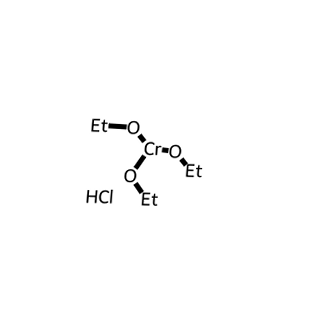 CC[O][Cr]([O]CC)[O]CC.Cl